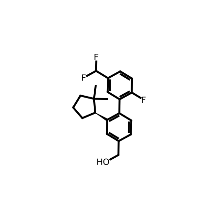 CC1(C)CCC[C@@H]1c1cc(CO)ccc1-c1cc(C(F)F)ccc1F